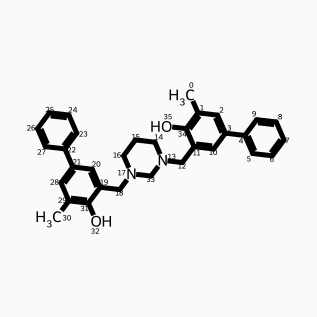 Cc1cc(-c2ccccc2)cc(CN2CCCN(Cc3cc(-c4ccccc4)cc(C)c3O)C2)c1O